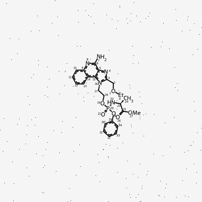 CCOCc1nc2c(N)nc3ccccc3c2n1CCO[P@](=O)(N[C@@H](C)C(=O)OC)Oc1ccccc1